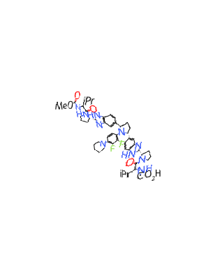 COC(=O)N[C@H](C(=O)N1CCC[C@H]1c1nc2cc([C@H]3CC[C@H](c4ccc5[nH]c([C@@H]6CCCN6C(=O)[C@@H](NC(=O)O)C(C)C)nc5c4)N3c3ccc(N4CCCCC4)c(F)c3F)ccc2[nH]1)C(C)C